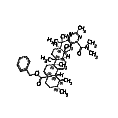 Cc1nc(C(=O)N(C)C)c2c(n1)C(C)(C)[C@@H]1CC[C@]3(C)[C@H](CC=C4[C@@H]5[C@@H](C)[C@H](C)CC[C@]5(C(=O)OCc5ccccc5)CC[C@]43C)[C@@]1(C)C2